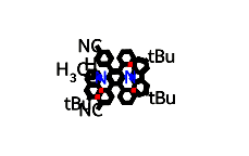 C[C@H]1C2=CC1c1cc(C(C)(C)C)ccc1N2c1c(-c2ccc(C#N)cc2)c(C2CCCCC2)c(-n2c3ccc(C(C)(C)C)cc3c3cc(C(C)(C)C)ccc32)c(C2CCCCC2)c1-c1ccc(C#N)cc1